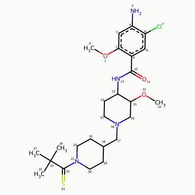 COc1cc(N)c(Cl)cc1C(=O)NC1CCN(CC2CCN(C(=S)C(C)(C)C)CC2)CC1OC